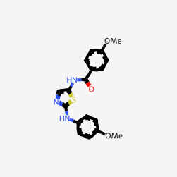 COc1ccc(Nc2ncc(NC(=O)c3ccc(OC)cc3)s2)cc1